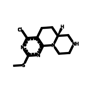 CSc1nc(Cl)c2c(n1)N1CCNC[C@H]1CC2